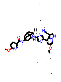 CCOc1cc(-c2cnc(N3[C@@H]4CC5C[C@H]3CC(NC(=O)c3ccc(OC)nc3)(C5)C4)cn2)c2c(C#N)cnn2c1